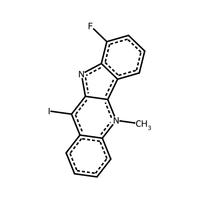 Cn1c2c3cccc(F)c3nc-2c(I)c2ccccc21